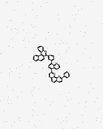 c1ccc(-c2ccc3ccc4ccc(-c5ccc(-c6cccc(-c7nc8ccccc8c8c7ccc7ccccc78)c6)c6ncccc56)nc4c3n2)cc1